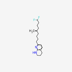 C=C(CCCCc1ccc2c(n1)NCCC2)CCCC(F)F